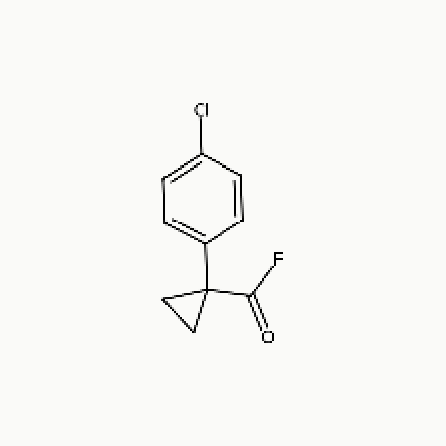 O=C(F)C1(c2ccc(Cl)cc2)CC1